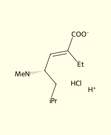 CC/C(=C\[C@H](CC(C)C)NC)C(=O)[O-].Cl.[H+]